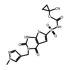 Cn1cc(Cn2c(=O)[nH]c3sc(S(=O)(=O)NC(=O)OC4(C#N)CC4)cc3c2=O)cn1